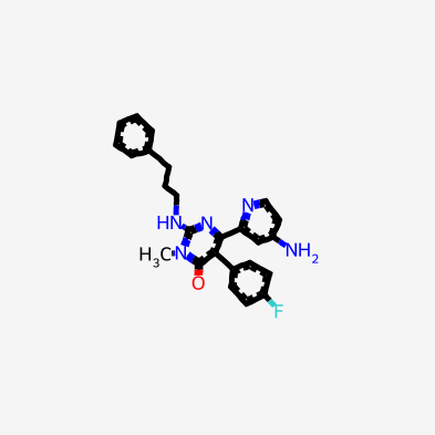 Cn1c(NCCCc2ccccc2)nc(-c2cc(N)ccn2)c(-c2ccc(F)cc2)c1=O